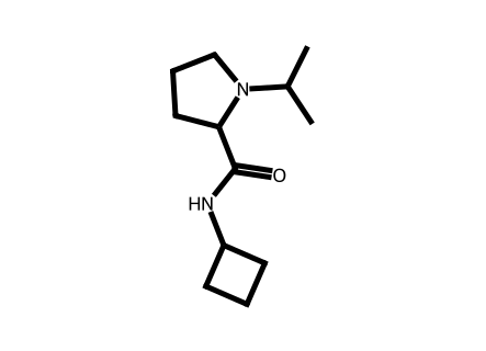 CC(C)N1CCCC1C(=O)NC1CCC1